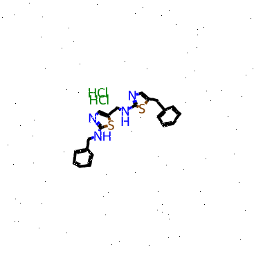 Cl.Cl.c1ccc(CNc2ncc(CNc3ncc(Cc4ccccc4)s3)s2)cc1